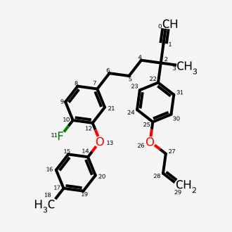 C#CC(C)(CCCc1ccc(F)c(Oc2ccc(C)cc2)c1)c1ccc(OCC=C)cc1